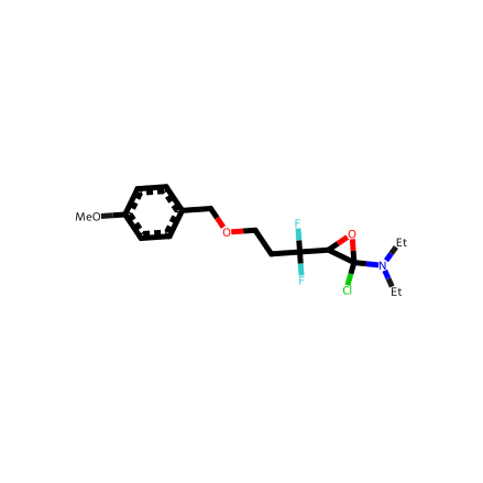 CCN(CC)C1(Cl)OC1C(F)(F)CCOCc1ccc(OC)cc1